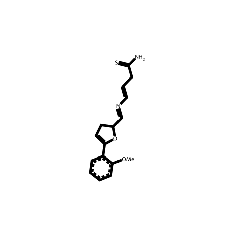 COc1ccccc1C1=CCC(/C=N/C=C/CC(N)=S)O1